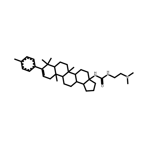 Cc1ccc(C2=CCC3(C)C(CCC4(C)C5CCC6(NC(=O)NCCN(C)C)CCCC6C5CCC43)C2(C)C)cc1